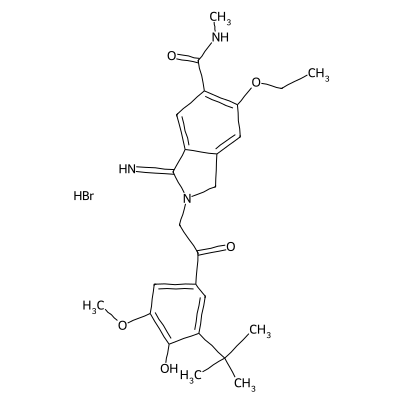 Br.CCOc1cc2c(cc1C(=O)NC)C(=N)N(CC(=O)c1cc(OC)c(O)c(C(C)(C)C)c1)C2